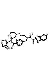 Nc1ccccc1NC(=O)c1ccc(CN(CCCN2CCOCC2)C(=O)Nc2nc3ccc(F)cc3s2)cn1